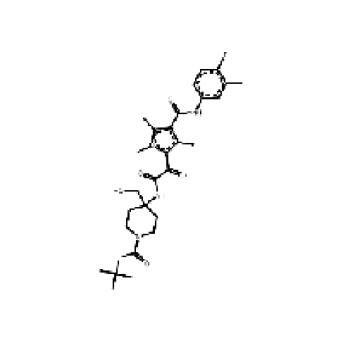 Cc1cc(NC(=O)c2c(C)c(C(=O)C(=O)NC3(CO)CCN(C(=O)OC(C)(C)C)CC3)n(C)c2C)ccc1F